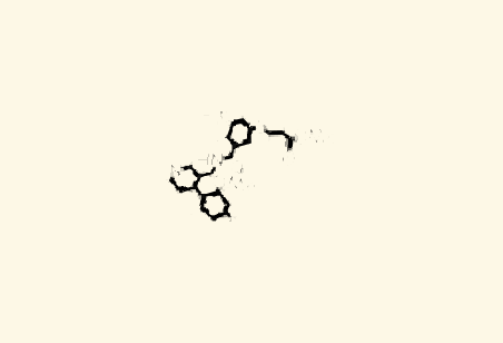 COC(=O)CCSc1cc(C(=O)NCc2cnccc2-c2ccc(F)cc2OC)cc(C(F)(F)F)c1